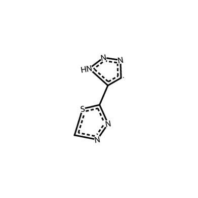 [c]1nn[nH]c1-c1nncs1